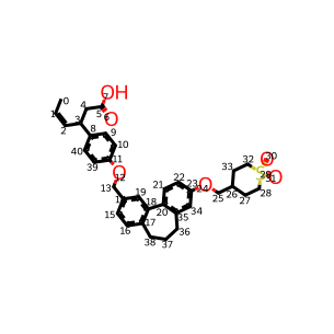 C/C=C\C(CC(=O)O)c1ccc(OCc2ccc3c(c2)-c2ccc(OCC4CCS(=O)(=O)CC4)cc2CCC3)cc1